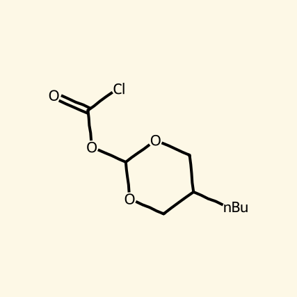 CCCCC1COC(OC(=O)Cl)OC1